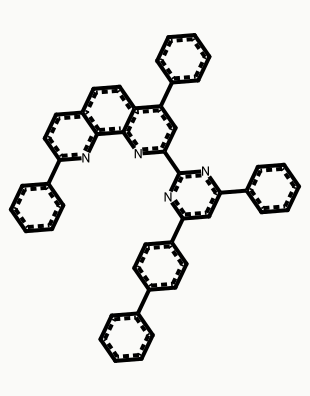 c1ccc(-c2ccc(-c3cc(-c4ccccc4)nc(-c4cc(-c5ccccc5)c5ccc6ccc(-c7ccccc7)nc6c5n4)n3)cc2)cc1